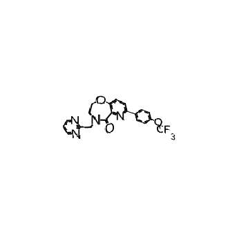 O=C1c2nc(-c3ccc(OC(F)(F)F)cc3)ccc2OCCN1Cc1ncccn1